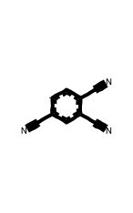 N#Cc1[c]cc(C#N)c(C#N)c1